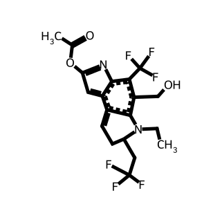 CCN1c2c(CO)c(C(F)(F)F)c3c(c2=CCC1CC(F)(F)F)=CC(OC(C)=O)=N3